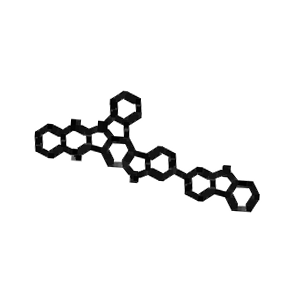 c1ccc2nc3c(nc2c1)c1cc2sc4cc(-c5ccc6c(c5)sc5ccccc56)ccc4c2c2c4ccccc4n3c12